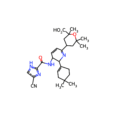 CC1(C)CC=C(C2N=C(C3CC(C)(C)OC(C)(C(=O)O)C3)C=CC2NC(=O)c2nc(C#N)c[nH]2)CC1